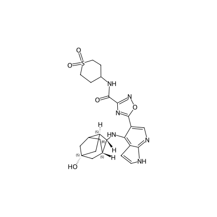 O=C(NC1CCS(=O)(=O)CC1)c1noc(-c2cnc3[nH]ccc3c2N[C@@H]2[C@H]3CC4C[C@](O)(C3)C[C@@H]42)n1